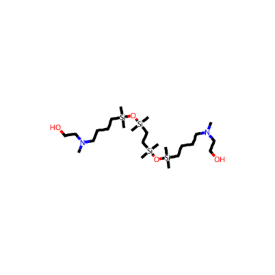 CN(CCO)CCCC[Si](C)(C)O[Si](C)(C)CC[Si](C)(C)O[Si](C)(C)CCCCN(C)CCO